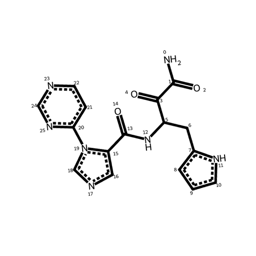 NC(=O)C(=O)C(Cc1ccc[nH]1)NC(=O)c1cncn1-c1ccncn1